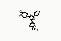 Cc1ncc(-c2nc(N3CCOCC3)nc(N3CCNC(=O)CC3)n2)cn1